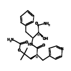 CC(C)(C[C@H](Cc1ccncc1)C(=O)NC(Cc1ccccc1)[C@H](O)C(N)=O)OC(N)=O